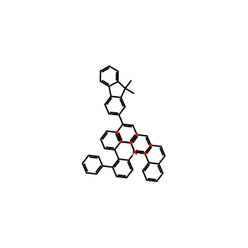 CC1(C)c2ccccc2-c2ccc(-c3ccc(N(c4cccc(-c5ccccc5)c4-c4ccccc4-c4ccccc4)c4cccc5ccccc45)cc3)cc21